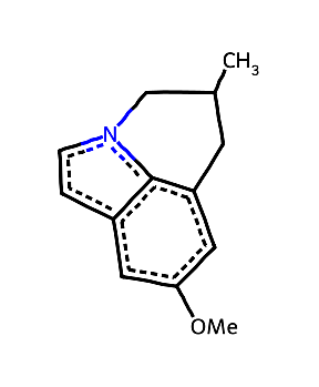 COc1cc2c3c(ccn3CC(C)C2)c1